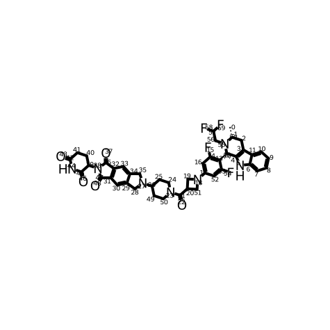 C[C@@H]1Cc2c([nH]c3ccccc23)[C@@H](c2c(F)cc(N3CC(C(=O)N4CCC(N5Cc6cc7c(cc6C5)C(=O)N(C5CCC(=O)NC5=O)C7=O)CC4)C3)cc2F)N1CC(F)F